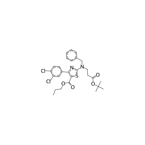 CCCOC(=O)c1sc(N(CCC(=O)OC(C)(C)C)Cc2ccccc2)nc1-c1ccc(Cl)c(Cl)c1